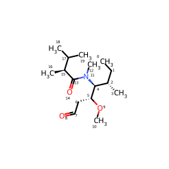 CC[C@H](C)[C@@H]([C@@H](CC=O)OC)N(C)C(=O)[C@@H](C)C(C)C